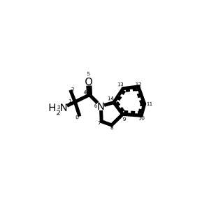 CC(C)(N)C(=O)N1CCc2ccccc21